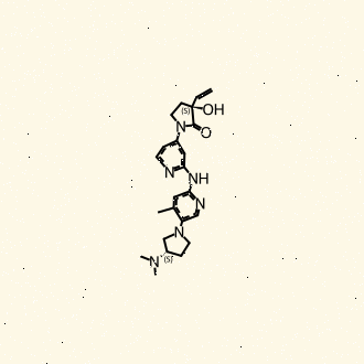 C=C[C@@]1(O)CCN(c2ccnc(Nc3cc(C)c(N4CC[C@H](N(C)C)C4)cn3)c2)C1=O